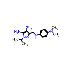 CC(C)n1nc(CNc2ccc(N(C)C)cc2)c(N)c1N